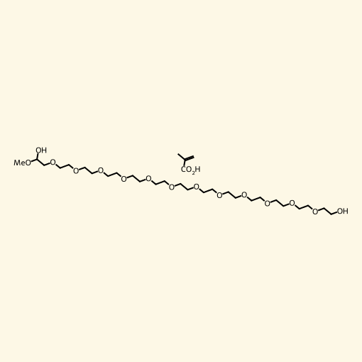 C=C(C)C(=O)O.COC(O)COCCOCCOCCOCCOCCOCCOCCOCCOCCOCCOCCOCCO